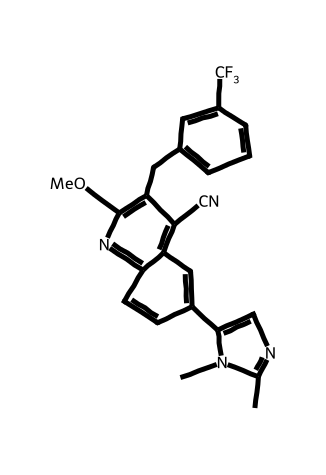 COc1nc2ccc(-c3cnc(C)n3C)cc2c(C#N)c1Cc1cccc(C(F)(F)F)c1